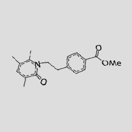 COC(=O)c1ccc(CCn2c(C)c(C)cc(C)c2=O)cc1